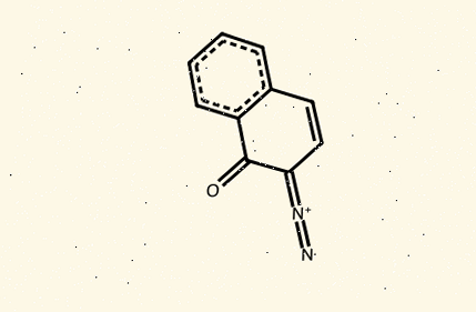 [N]=[N+]=C1C=Cc2ccccc2C1=O